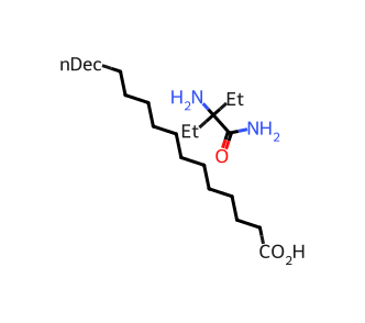 CCC(N)(CC)C(N)=O.CCCCCCCCCCCCCCCCCCCCCC(=O)O